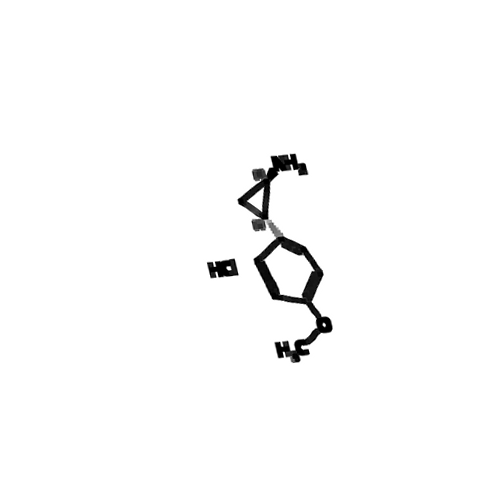 COc1ccc([C@@H]2C[C@H]2N)cc1.Cl